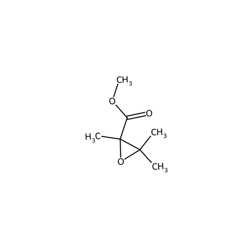 COC(=O)C1(C)OC1(C)C